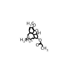 CCC(=O)O[C@H]1CC(C)[C@@]23CCN(C)Cc4ccc(OC)c(c42)O[C@H]3C1